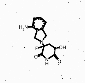 Nc1cccc2c1CN(C1(F)CC(O)C(=O)NC1=O)C2